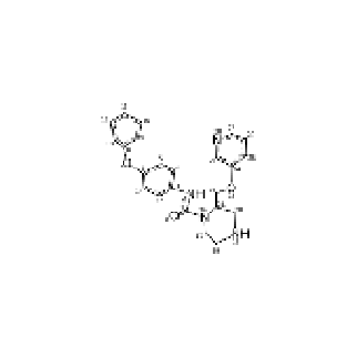 O=C(Nc1ccc(Oc2ccccc2)cc1)N1CCNCC1COc1cccnc1